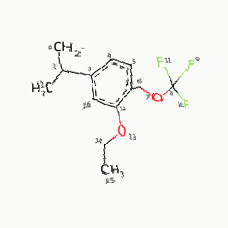 [CH2]C(C)c1ccc(OC(F)(F)F)c(OCC)c1